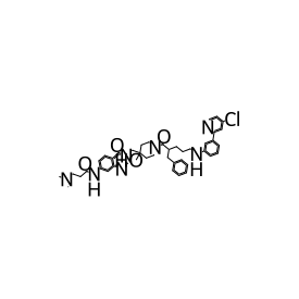 CN(C)CCC(=O)Nc1ccc2c(=O)n(CC3(O)CCN(C(=O)C(CCCNc4cccc(-c5cc(Cl)ccn5)c4)Cc4ccccc4)CC3)cnc2c1